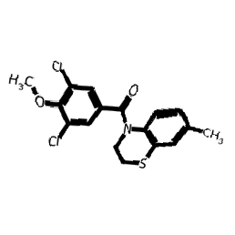 COc1c(Cl)cc(C(=O)N2CCSc3cc(C)ccc32)cc1Cl